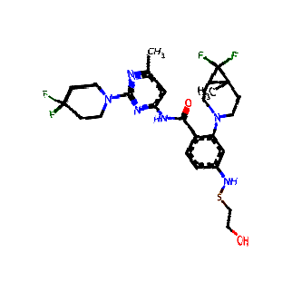 Cc1cc(NC(=O)c2ccc(NSCCO)cc2N2CCC3(C)C(C2)C3(F)F)nc(N2CCC(F)(F)CC2)n1